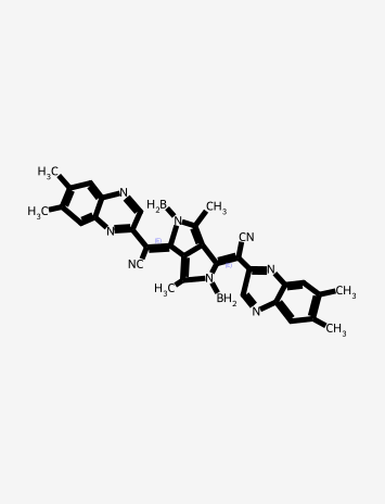 Bn1c(C)c2/c(=C(\C#N)c3cnc4cc(C)c(C)cc4n3)n(B)c(C)c2/c1=C(\C#N)c1cnc2cc(C)c(C)cc2n1